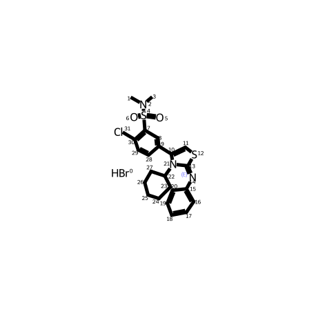 Br.CN(C)S(=O)(=O)c1cc(-c2cs/c(=N/c3ccccc3)n2C2CCCCC2)ccc1Cl